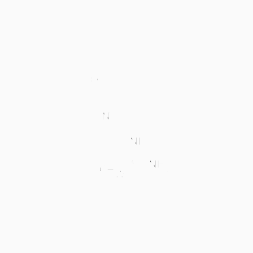 C=CC(NC(N)=S)N1CCOCC1